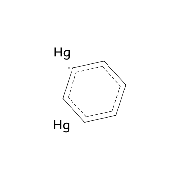 [Hg].[Hg].[c]1ccccc1